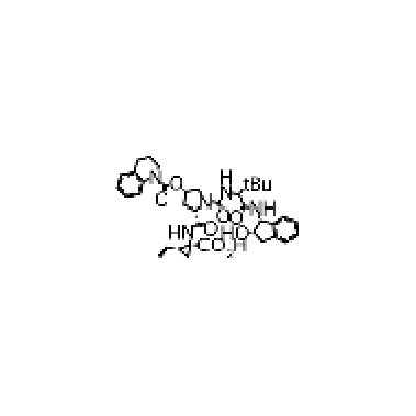 C=C[C@@H]1C[C@]1(NC(=O)[C@@H]1C[C@@H](OC(=O)N2CCCc3ccccc32)CN1C(=O)NC(C(=O)N[C@H]1c2ccccc2C[C@H]1O)C(C)(C)C)C(=O)O